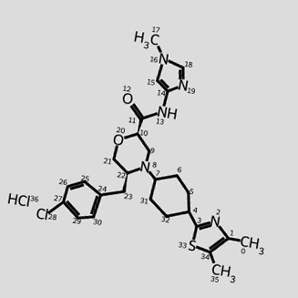 Cc1nc(C2CCC(N3C[C@H](C(=O)Nc4cn(C)cn4)OC[C@@H]3Cc3ccc(Cl)cc3)CC2)sc1C.Cl